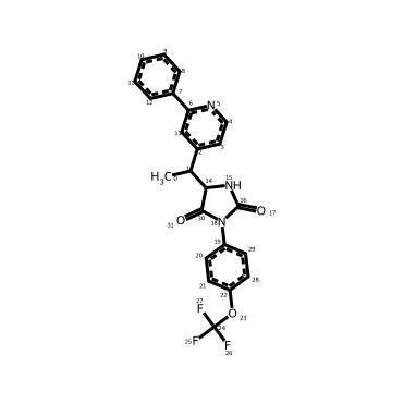 CC(c1ccnc(-c2ccccc2)c1)C1NC(=O)N(c2ccc(OC(F)(F)F)cc2)C1=O